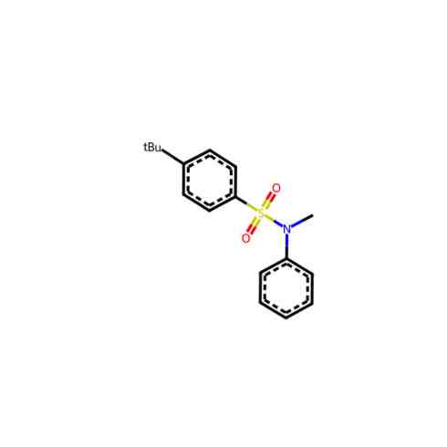 CN(c1ccccc1)S(=O)(=O)c1ccc(C(C)(C)C)cc1